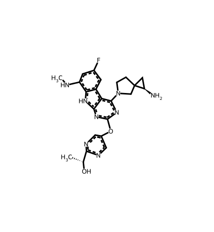 CNc1cc(F)cc2c1[nH]c1nc(Oc3cnc([C@@H](C)O)nc3)nc(N3CCC4(C[C@H]4N)C3)c12